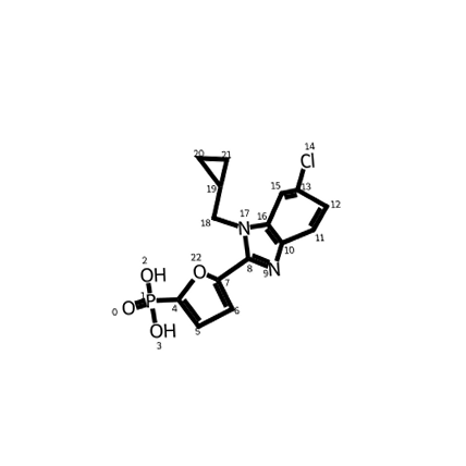 O=P(O)(O)c1ccc(-c2nc3ccc(Cl)cc3n2CC2CC2)o1